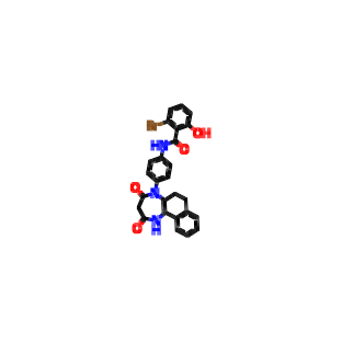 O=C1CC(=O)N(c2ccc(NC(=O)c3c(O)cccc3Br)cc2)C2=C(N1)c1ccccc1CC2